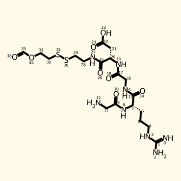 N=C(N)NCCC[C@H](NC(=O)CN)C(=O)NCC(=O)N[C@@H](CC(=O)O)C(=O)NCCSSCCOC=O